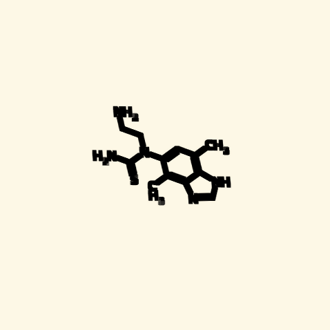 Cc1c(N(CCN)C(N)=S)cc(C)c2[nH]cnc12